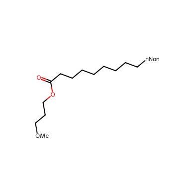 CCCCCCCCCCCCCCCCCC(=O)OCCCOC